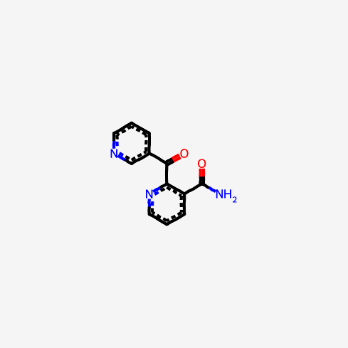 NC(=O)c1cccnc1C(=O)c1cccnc1